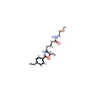 CCc1ccc(-c2nc(CCCC(=O)NCCOC)c(C)o2)cc1